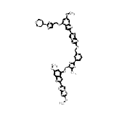 COc1cc(OCc2nc(-c3cccc(COc4nn5cc(-c6cc7c(OCc8csc(C9CCOCC9)n8)cc(OC)cc7o6)nc5s4)c3)sc2C)c2cc(-c3cn4nc(OC)sc4n3)oc2c1